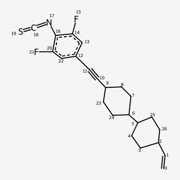 C=CC1CCC(C2CCC(C#Cc3cc(F)c(N=C=S)c(F)c3)CC2)CC1